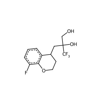 OCC(O)(CC1CCOc2c(F)cccc21)C(F)(F)F